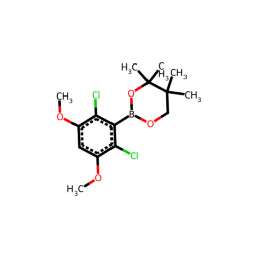 COc1cc(OC)c(Cl)c(B2OCC(C)(C)C(C)(C)O2)c1Cl